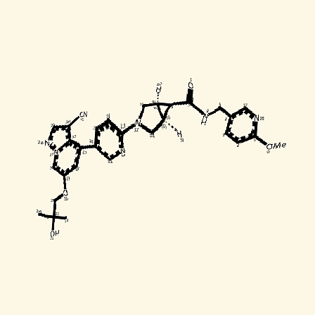 COc1ccc(CNC(=O)C2[C@H]3CN(c4ccc(-c5cc(OCC(C)(C)O)cn6ncc(C#N)c56)cn4)C[C@@H]23)cn1